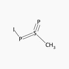 CS(#P)=PI